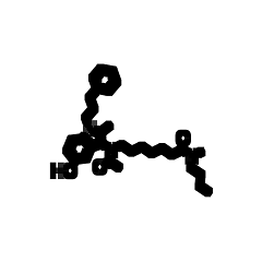 CCCCN(C)C(=O)CCCCCCN(C(C)=O)c1c(C)n(CCCc2ccccc2)c2ccc(O)cc12